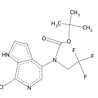 CC(C)(C)OC(=O)N(CC(F)(F)F)c1cnc(Cl)c2[nH]ccc12